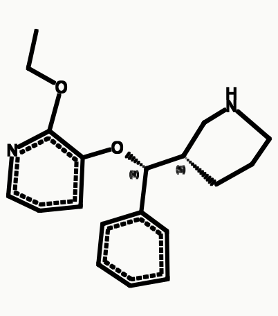 CCOc1ncccc1O[C@@H](c1ccccc1)[C@H]1CCCNC1